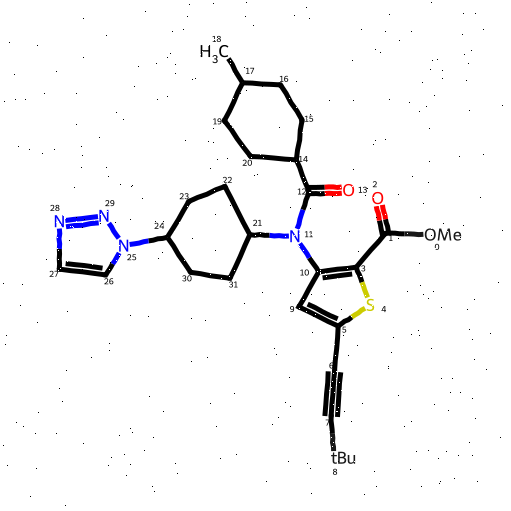 COC(=O)c1sc(C#CC(C)(C)C)cc1N(C(=O)C1CCC(C)CC1)C1CCC(n2ccnn2)CC1